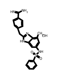 Cc1cc(NS(=O)(=O)c2ccccc2)cc2[nH]c(Cc3ccc(C(=N)N)cc3)nc12.Cl